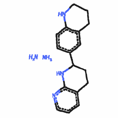 N.N.c1cnc2c(c1)CCC(c1ccc3c(c1)CCCN3)N2